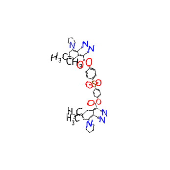 CC1(C)CC(N2CCCC2)=C(C#N)/C(=C(\C#N)C(=O)Oc2ccc(S(=O)(=O)c3ccc(OC(=O)/C(C#N)=C4\CC(C)(C)CC(N5CCCC5)=C4C#N)cc3)cc2)C1